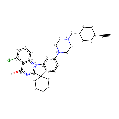 C#C[C@H]1CC[C@H](CN2CCN(c3ccc4c(c3)-n3c(nc(=O)c5c(Cl)cccc53)C43CCCCC3)CC2)CC1